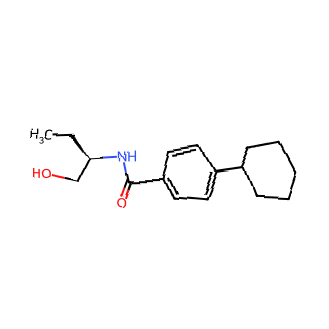 CC[C@H](CO)NC(=O)c1ccc(C2CCCCC2)cc1